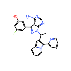 CC(c1cc2ccccn2c1-c1ccccn1)n1nc(-c2cc(O)cc(F)c2)c2c(N)ncnc21